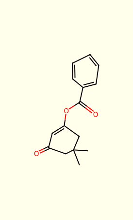 CC1(C)CC(=O)C=C(OC(=O)c2ccccc2)C1